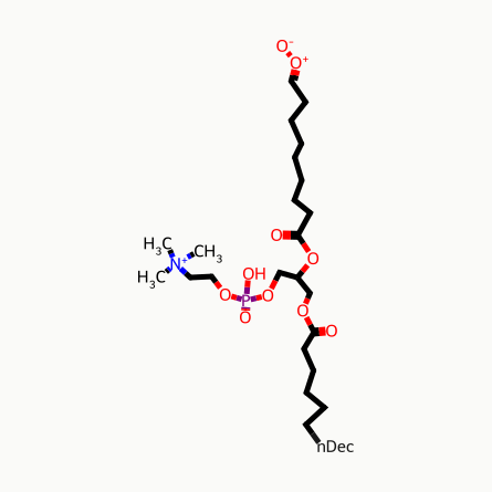 CCCCCCCCCCCCCCCC(=O)OCC(COP(=O)(O)OCC[N+](C)(C)C)OC(=O)CCCCCCC/C=[O+]/[O-]